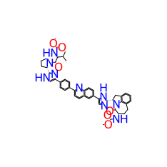 COC(=O)N[C@H]1CCc2cccc3c2N(C1=O)[C@H](c1ncc(-c2ccc4nc(-c5ccc(-c6c[nH]c([C@@H]7CCCN7C(=O)[C@@H](NC(=O)OC)C(C)C)n6)cc5)ccc4c2)[nH]1)C3